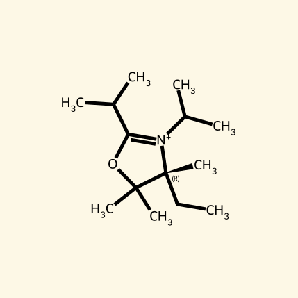 CC[C@@]1(C)[N+](C(C)C)=C(C(C)C)OC1(C)C